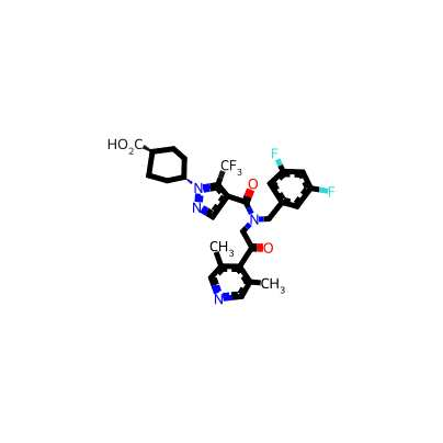 Cc1cncc(C)c1C(=O)CN(Cc1cc(F)cc(F)c1)C(=O)c1cnn([C@H]2CC[C@H](C(=O)O)CC2)c1C(F)(F)F